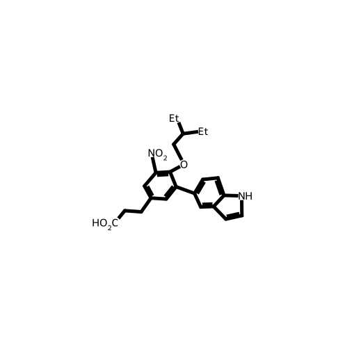 CCC(CC)COc1c(-c2ccc3[nH]ccc3c2)cc(CCC(=O)O)cc1[N+](=O)[O-]